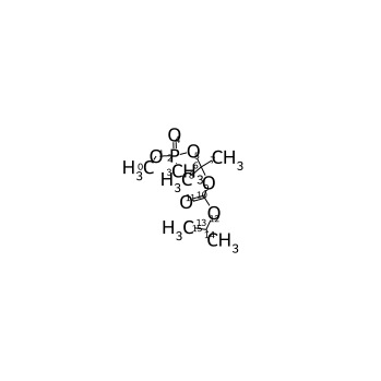 COP(C)(=O)OC(C)(C)OC(=O)OC(C)C